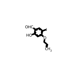 C=CCOc1cc(O)c(C=O)cc1I